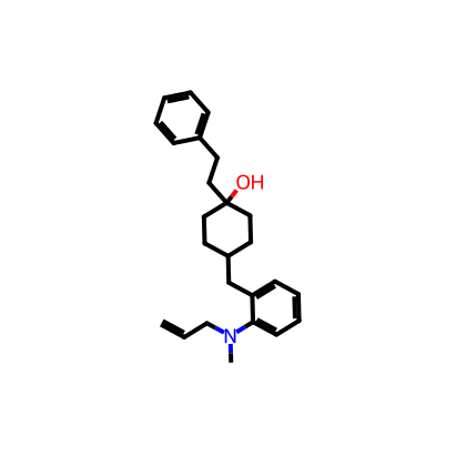 C=CCN(C)c1ccccc1CC1CCC(O)(CCc2ccccc2)CC1